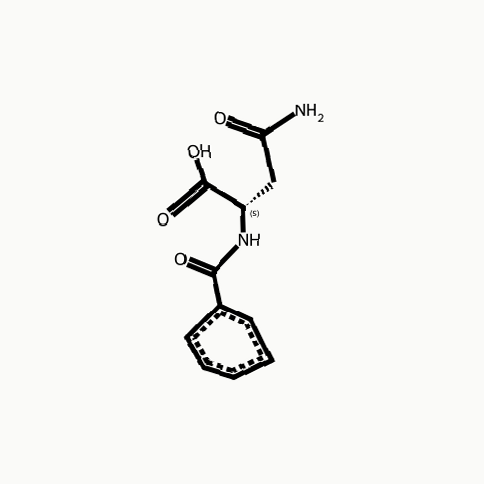 NC(=O)C[C@H](NC(=O)c1ccccc1)C(=O)O